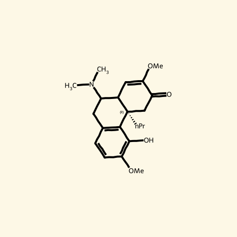 CCC[C@@]12CC(=O)C(OC)=CC1C(N(C)C)Cc1ccc(OC)c(O)c12